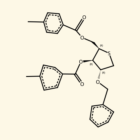 Cc1ccc(C(=O)OC[C@H]2SC[C@H](OCc3ccccc3)[C@H]2OC(=O)c2ccc(C)cc2)cc1